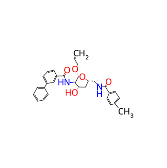 C=CCO[C@@H]1O[C@H](CNC(=O)c2ccc(C)cc2)C[C@H](O)[C@H]1NC(=O)c1cccc(-c2ccccc2)c1